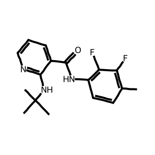 Cc1ccc(NC(=O)c2cccnc2NC(C)(C)C)c(F)c1F